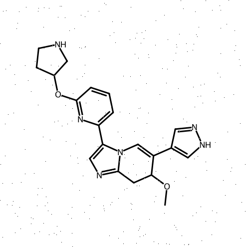 COC1Cc2ncc(-c3cccc(OC4CCNC4)n3)n2C=C1c1cn[nH]c1